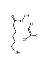 CC(C)(C)CCCCCC(=O)OO.ClC=C(Cl)Cl